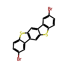 Brc1ccc2sc3cc4c(cc3c2c1)sc1ccc(Br)cc14